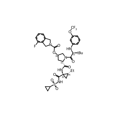 CC[C@@H]1C[C@]1(NC(=O)[C@@H]1C[C@@H](OC(=O)N2Cc3cccc(F)c3C2)CN1C(=O)[C@@H](Nc1cccc(OC(F)(F)F)c1)C(C)(C)C)C(=O)NS(=O)(=O)C1CC1